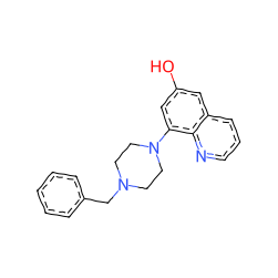 Oc1cc(N2CCN(Cc3ccccc3)CC2)c2ncccc2c1